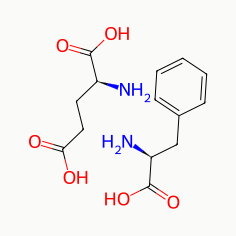 N[C@@H](CCC(=O)O)C(=O)O.N[C@@H](Cc1ccccc1)C(=O)O